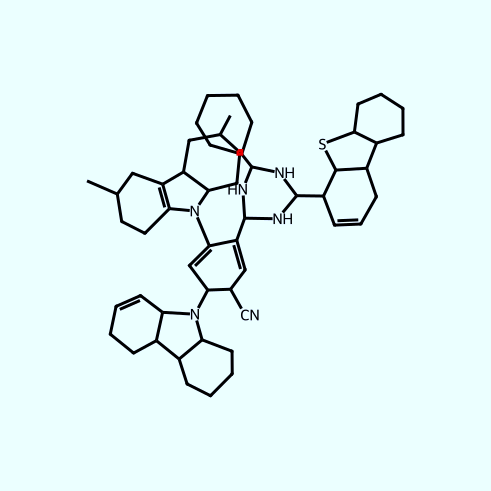 CC1CCC2=C(C1)C1CC(C)CCC1N2C1=CC(N2C3C=CCCC3C3CCCCC32)C(C#N)C=C1C1NC(C2CCCCC2)NC(C2C=CCC3C4CCCCC4SC23)N1